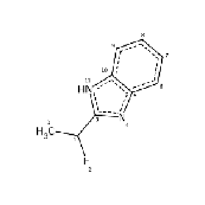 CC(F)c1nc2ccccc2[nH]1